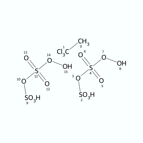 CC(Cl)(Cl)Cl.O=S(=O)(O)OS(=O)(=O)OO.O=S(=O)(O)OS(=O)(=O)OO